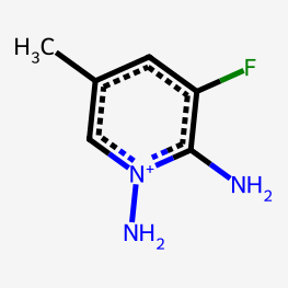 Cc1cc(F)c(N)[n+](N)c1